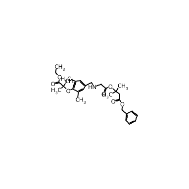 CCOC(=O)C(C)(C)Oc1c(C)cc(CNCC(=O)OC(C)(C)CC(=O)OCc2ccccc2)cc1C